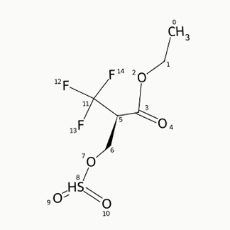 CCOC(=O)[C@@H](CO[SH](=O)=O)C(F)(F)F